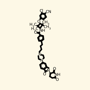 CC1(C)C(NC(=O)c2ccc(CCCCN3CCN(c4ccc5c(c4)CN([C@@H]4CCC(=O)NC4=O)C5=O)CC3)cc2)C(C)(C)C1Oc1ccc(C#N)c(Cl)c1